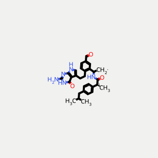 [CH2]C(NC(=O)[C@@H](C)c1ccc(CC(C)C)cc1)c1cc(C=O)ccc1CCc1c[nH]c2nc(N)[nH]c(=O)c12